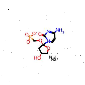 Nc1ccn([C@@]2(OCP(=O)([O-])[O-])C[C@H](O)CO2)c(=O)n1.[Na+].[Na+]